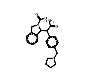 NC(=O)C(c1ccc(CN2CCCC2)cc1)C1c2ccccc2CN1C(=O)O